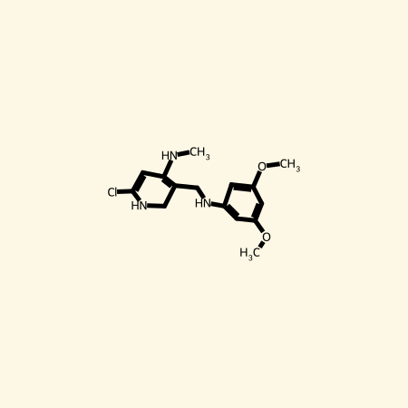 CNC1=C(CNc2cc(OC)cc(OC)c2)CNC(Cl)=C1